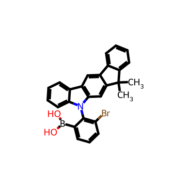 CC1(C)c2ccccc2-c2cc3c4ccccc4n(-c4c(Br)cccc4B(O)O)c3cc21